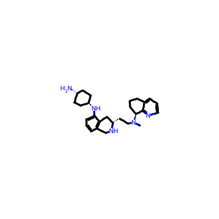 CN(CC[C@H]1Cc2c(cccc2N[C@H]2CC[C@@H](N)CC2)CN1)[C@H]1CCCc2cccnc21